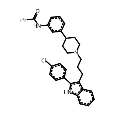 CC(C)C(=O)Nc1cccc(C2CCN(CCCc3c(-c4ccc(Cl)cc4)[nH]c4ccccc34)CC2)c1